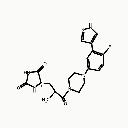 C[C@@H](C[C@H]1NC(=O)NC1=O)C(=O)N1CCN(c2ccc(F)c(-c3cn[nH]c3)c2)CC1